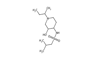 CCC(C)N1CCC(NS(=O)(=O)CC(C)C)C(O)C1